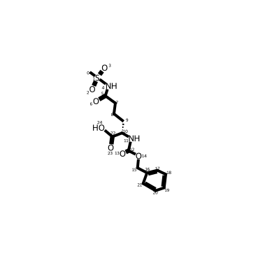 CS(=O)(=O)NC(=O)CCC[C@H](NC(=O)OCc1ccccc1)C(=O)O